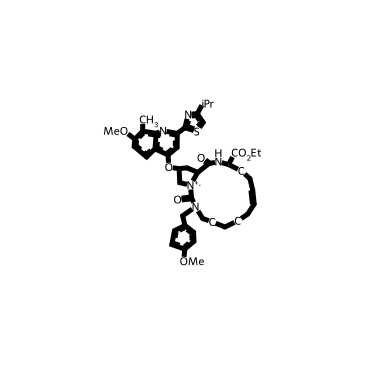 CCOC(=O)C1CCC=CCCCCCN(Cc2ccc(OC)cc2)C(=O)[N+]2CC(Oc3cc(-c4nc(C(C)C)cs4)nc4c(C)c(OC)ccc34)CC2C(=O)N1